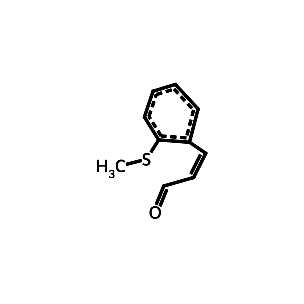 CSc1ccccc1/C=C\C=O